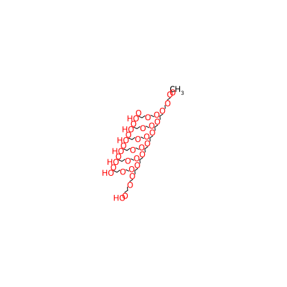 COOCCOCCOCC(COCC(COCC(COCC(COCC(COCC(COCCOCCCOO)OCCOCCC(=O)O)OCCOCCC(=O)O)OCCOCCC(=O)O)OCCOCCC(=O)O)OCCOCCC(=O)O)OCCOCCC(=O)O